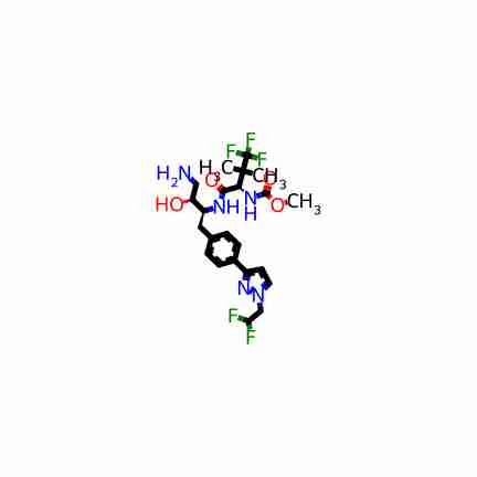 COC(=O)N[C@H](C(=O)N[C@@H](Cc1ccc(-c2ccn(CC(F)F)n2)cc1)[C@@H](O)CN)C(C)(C)C(F)(F)F